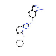 Cn1ncc2ccc(Nc3nc4cccc(N[C@H]5CC[C@@H](O)CC5)n4n3)cc21